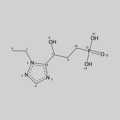 CCn1ncnc1C(O)CCP(=O)(O)O